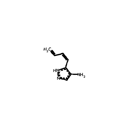 C=C/C=C\c1[nH]ncc1N